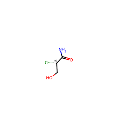 NC(=O)[C@@H](Cl)CO